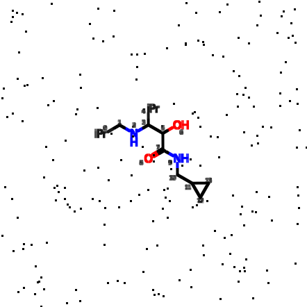 CC(C)CNC(C(C)C)C(O)C(=O)NCC1CC1